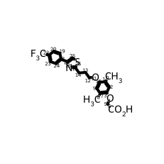 Cc1cc(OCC(=O)O)c(C)cc1OCCCc1nc(-c2ccc(C(F)(F)F)cc2)cs1